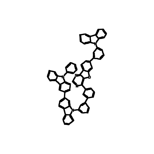 c1ccc(-n2c3ccccc3c3cc(-c4ccc5c6ccccc6n(-c6cccc(-c7cccc(-c8ncnc9c8oc8cc(-c%10cccc(-n%11c%12ccccc%12c%12ccccc%12%11)c%10)ccc89)c7)c6)c5c4)ccc32)cc1